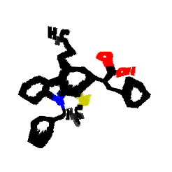 CCCc1cc(C(Cc2ccccc2)C(=O)O)c(SC)c2c1c1ccccc1n2Cc1ccccc1